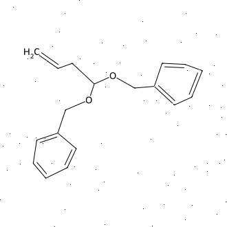 C=CCC(OCc1ccccc1)OCc1ccccc1